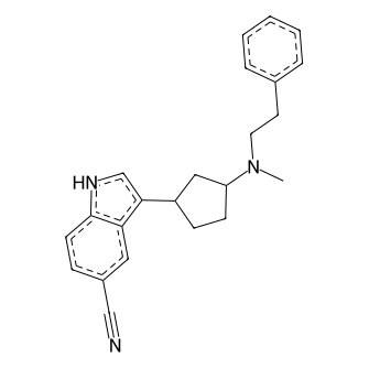 CN(CCc1ccccc1)C1CCC(c2c[nH]c3ccc(C#N)cc23)C1